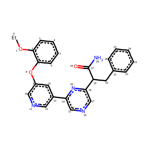 CCOc1ccccc1Oc1cncc(-c2cncc(C(Cc3ccccc3)C(N)=O)n2)c1